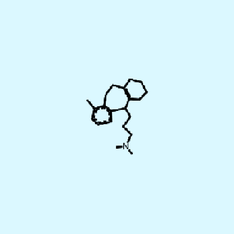 Cc1cccc2c1CCC1=C(CCCC1)C2CCCN(C)C